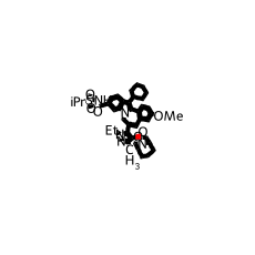 CCn1nc(C)c(C(=O)N2C3CCCC2COC3)c1C1=Cc2cc(OC)ccc2-c2c(C3CCCCC3)c3ccc(C(=O)NS(=O)(=O)C(C)C)cc3n2C1